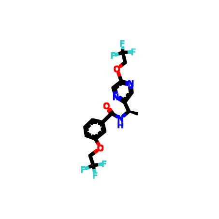 C[C@@H](NC(=O)c1cccc(OCC(F)(F)F)c1)c1cnc(OCC(F)(F)F)cn1